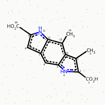 Cc1c(C(=O)O)[nH]c2cc3cc(C(=O)O)[nH]c3c(C)c12